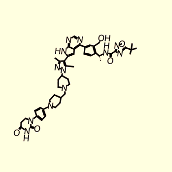 Cc1nn(C2CCN(CC3CCN(c4ccc(N5CCC(=O)NC5=O)cc4)CC3)CC2)c(C)c1-c1cc2c(-c3ccc([C@@H](C)NC(=O)c4noc(C(C)(C)C)n4)c(CO)c3)ncnc2[nH]1